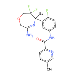 CCC1(c2cc(NC(=O)c3ccc(C#N)cn3)ccc2F)N=C(N)COCC1(F)F